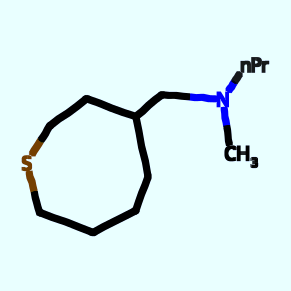 CCCN(C)CC1CCCCSCC1